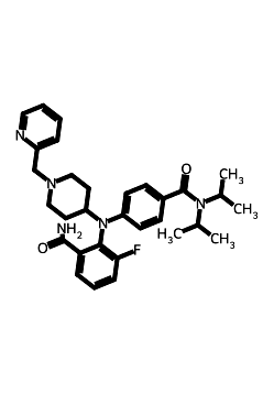 CC(C)N(C(=O)c1ccc(N(c2c(F)cccc2C(N)=O)C2CCN(Cc3ccccn3)CC2)cc1)C(C)C